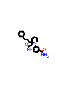 NC(=O)CC1(CCCc2ccccc2)C=CC=CN1c1cccc(C(N)=O)c1